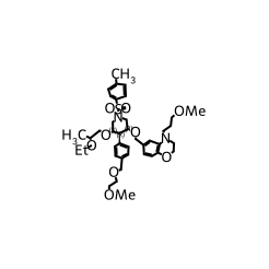 CCOC(C)CO[C@@H]1CN(S(=O)(=O)c2ccc(C)cc2)C[C@H](OCc2ccc3c(c2)N(CCCOC)CCO3)[C@H]1c1ccc(COCCOC)cc1